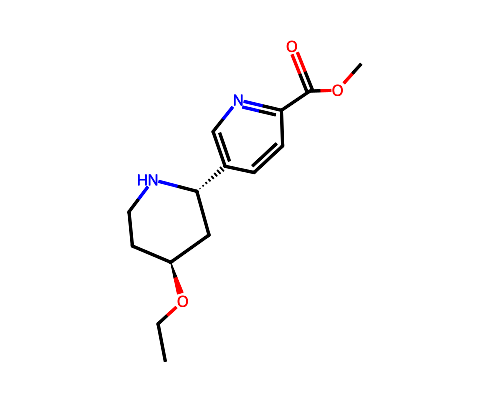 CCO[C@H]1CCN[C@H](c2ccc(C(=O)OC)nc2)C1